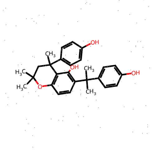 CC1(C)CC(C)(c2ccc(O)cc2)c2c(ccc(C(C)(C)c3ccc(O)cc3)c2O)O1